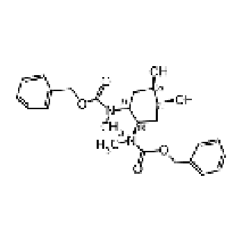 CN(C(=O)OCc1ccccc1)[C@@H]1C[C@H](O)[C@H](O)C[C@@H]1N(C)C(=O)OCc1ccccc1